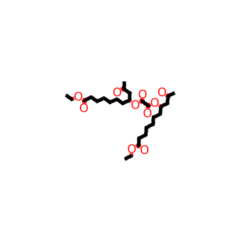 CCOC(=O)CCCCCCC(CC(C)=O)OC(=O)C(=O)OC(CCCCCCC(=O)OCC)CC(C)=O